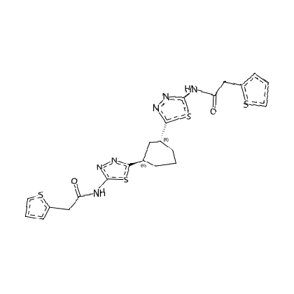 O=C(Cc1cccs1)Nc1nnc([C@@H]2CCC[C@@H](c3nnc(NC(=O)Cc4cccs4)s3)C2)s1